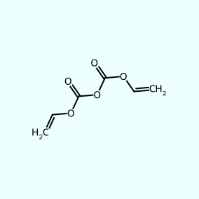 C=COC(=O)OC(=O)OC=C